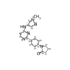 Cn1cc(Nc2ccnc(-c3ccc(N4CCCC4=O)cc3)n2)cn1